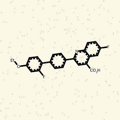 CCOc1ccc(-c2ccc(-c3cc(C(=O)O)c4cc(F)ccc4n3)cc2)c(F)c1